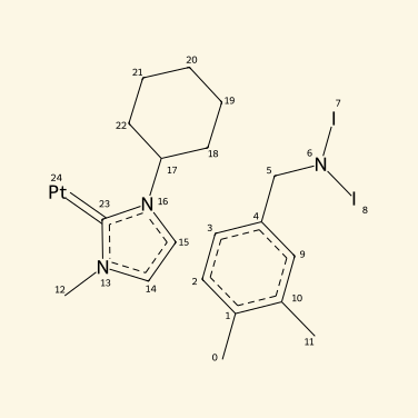 Cc1ccc(CN(I)I)cc1C.Cn1ccn(C2CCCCC2)[c]1=[Pt]